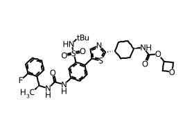 C[C@H](NC(=O)Nc1ccc(-c2cnc([C@H]3CC[C@H](NC(=O)OC4COC4)CC3)s2)c(S(=O)(=O)NC(C)(C)C)c1)c1ccccc1F